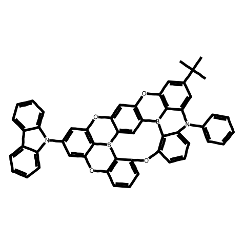 CC(C)(C)c1cc2c3c(c1)N(c1ccccc1)c1cccc4c1B3c1cc3c(cc1O2)Oc1cc(-n2c5ccccc5c5ccccc52)cc2c1B3c1c(cccc1O4)O2